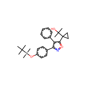 CC(C)(O)C1(c2onc(-c3ccc(O[Si](C)(C)C(C)(C)C)cc3)c2-c2ccccc2)CC1